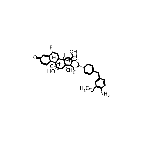 COc1cc(CC2=CCC([C@H]3O[C@@H]4C[C@H]5[C@@H]6C[C@H](F)C7=CC(=O)C=C[C@]7(C)[C@@]6(F)[C@@H](O)C[C@]5(C)[C@]4(C(=O)CO)O3)C=C2)ccc1N